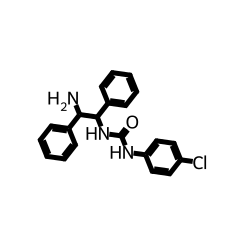 NC(c1ccccc1)C(NC(=O)Nc1ccc(Cl)cc1)c1ccccc1